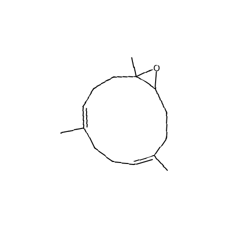 C/C1=C/CCC2(C)OC2CC/C(C)=C\CC1